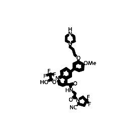 COc1ccc(-c2ccc3nccc(C(=O)NCC(=O)N4CC(F)(F)C[C@H]4C#N)c3c2)cc1OCCCN1CCNCC1.O=C(O)C(F)(F)F